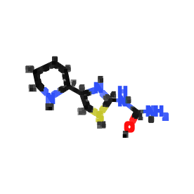 NC(=O)Nc1nc(-c2ccccn2)cs1